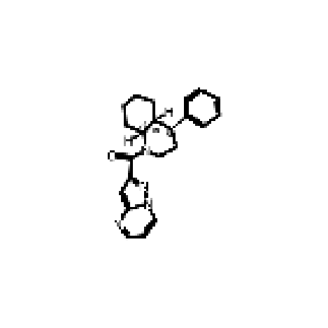 O=C(c1cc2ncccn2n1)N1CC[C@H](c2ccccc2)[C@H]2CCCC[C@H]21